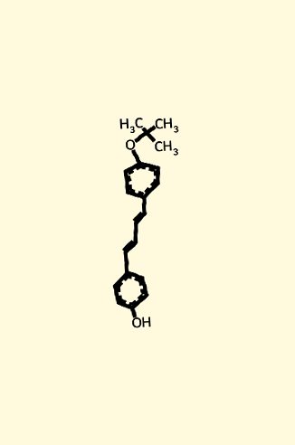 CC(C)(C)Oc1ccc(C=CC=Cc2ccc(O)cc2)cc1